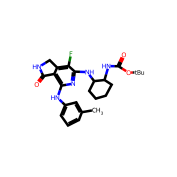 Cc1cccc(Nc2nc(NC3CCCCC3NC(=O)OC(C)(C)C)c(F)c3c2C(=O)NC3)c1